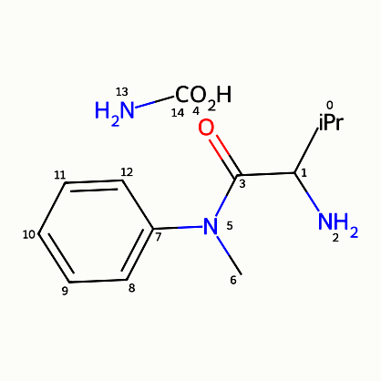 CC(C)C(N)C(=O)N(C)c1ccccc1.NC(=O)O